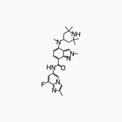 Cc1cn2cc(NC(=O)c3ccc(N(C)C4CC(C)(C)NC(C)(C)C4)c4cn(C)nc34)cc(F)c2n1